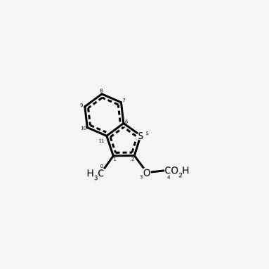 Cc1c(OC(=O)O)sc2ccccc12